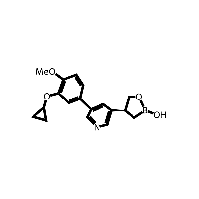 COc1ccc(-c2cncc([C@H]3COB(O)C3)c2)cc1OC1CC1